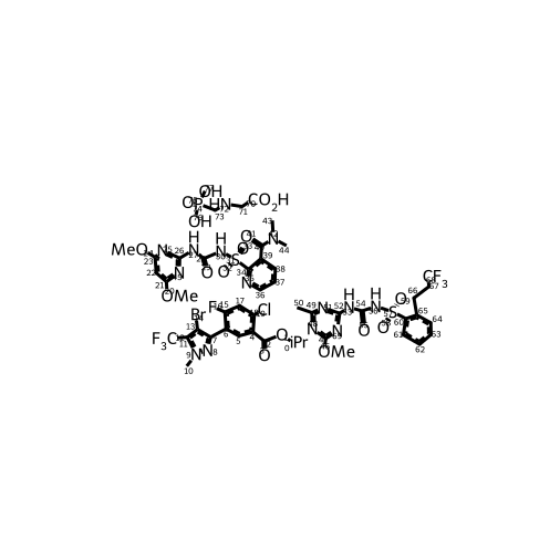 CC(C)OC(=O)c1cc(-c2nn(C)c(C(F)(F)F)c2Br)c(F)cc1Cl.COc1cc(OC)nc(NC(=O)NS(=O)(=O)c2ncccc2C(=O)N(C)C)n1.COc1nc(C)nc(NC(=O)NS(=O)(=O)c2ccccc2CCC(F)(F)F)n1.O=C(O)CNCP(=O)(O)O